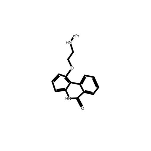 CCCNCCOc1cccc2[nH]c(=O)c3ccccc3c12